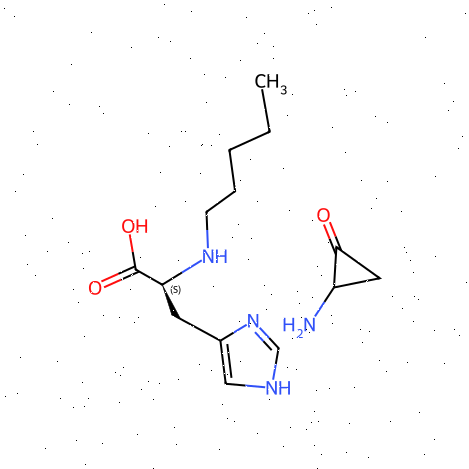 CCCCCN[C@@H](Cc1c[nH]cn1)C(=O)O.NC1CC1=O